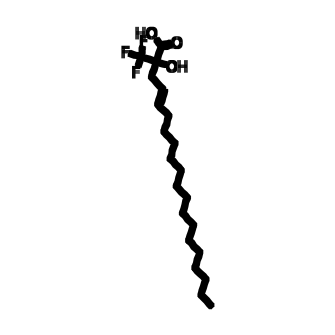 CCCCCCCCCCCCCCC/C=C/CC(O)(C(=O)O)C(F)(F)F